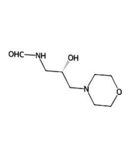 O=CNC[C@H](O)CN1CCOCC1